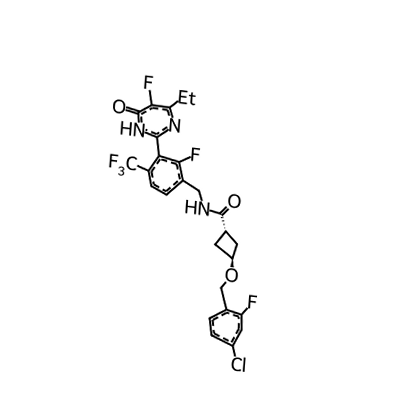 CCc1nc(-c2c(C(F)(F)F)ccc(CNC(=O)[C@H]3C[C@H](OCc4ccc(Cl)cc4F)C3)c2F)[nH]c(=O)c1F